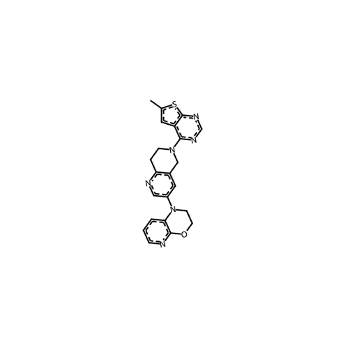 Cc1cc2c(N3CCc4ncc(N5CCOc6ncccc65)cc4C3)ncnc2s1